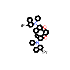 CC(C)c1ccc(N(c2ccccc2)c2cc3oc4ccc5oc6cc(N(c7ccccc7)c7ccc(C(C)C)c8ccccc78)c7ccccc7c6c5c4c3c3ccccc23)c2ccccc12